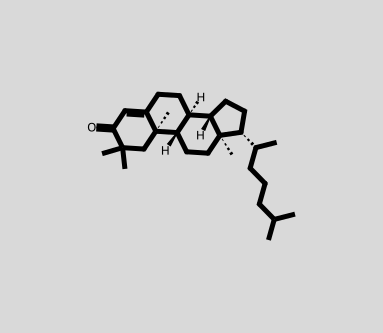 CC(C)CCCC(C)[C@H]1CC[C@H]2[C@@H]3CCC4=CC(=O)C(C)(C)C[C@]4(C)[C@H]3CC[C@]12C